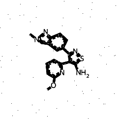 COc1cccc(-c2c(-c3ccc4nn(C)cc4c3)nsc2N)n1